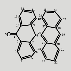 O=C1c2ccccc2Cc2ccccc21.c1ccc2cc3ccccc3cc2c1